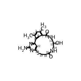 Cc1cc(C)c2cc1C(=O)NC[C@@H](O)CNC(=O)CCSc1cc-2nc(N)n1